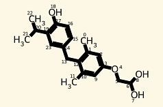 Cc1cc(OCC(O)O)cc(C)c1Cc1ccc(O)c(C(C)C)c1